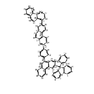 c1ccc(C2(c3ccccc3)c3ccccc3-c3cc4c(-c5ccc(-c6ccc7c(ccc8cc(-c9ccnc%10c9ccc9cccnc9%10)ccc87)c6)cc5)nc5ccccc5c4cc32)cc1